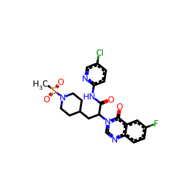 CS(=O)(=O)N1CCC(CC(C(=O)Nc2ccc(Cl)cn2)n2cnc3ccc(F)cc3c2=O)CC1